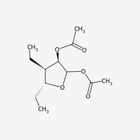 CC[C@@H]1[C@@H](CC)OC(OC(C)=O)[C@@H]1OC(C)=O